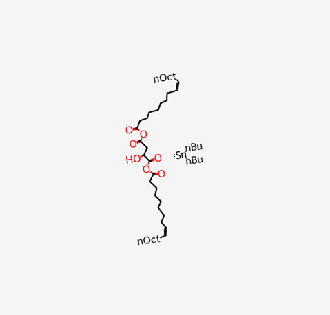 CCCCCCCC/C=C\CCCCCCCC(=O)OC(=O)CC(O)C(=O)OC(=O)CCCCCCC/C=C\CCCCCCCC.CCC[CH2][Sn][CH2]CCC